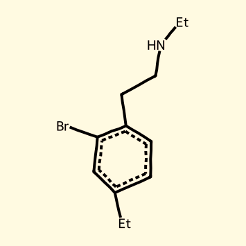 CCNCCc1ccc(CC)cc1Br